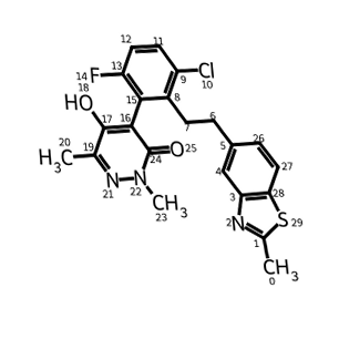 Cc1nc2cc(CCc3c(Cl)ccc(F)c3-c3c(O)c(C)nn(C)c3=O)ccc2s1